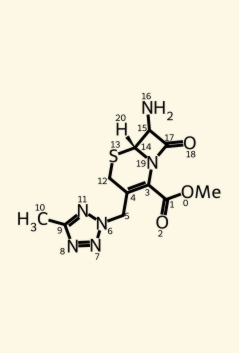 COC(=O)C1=C(Cn2nnc(C)n2)CS[C@@H]2C(N)C(=O)N12